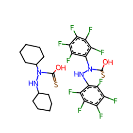 OC(=S)N(NC1CCCCC1)C1CCCCC1.OC(=S)N(Nc1c(F)c(F)c(F)c(F)c1F)c1c(F)c(F)c(F)c(F)c1F